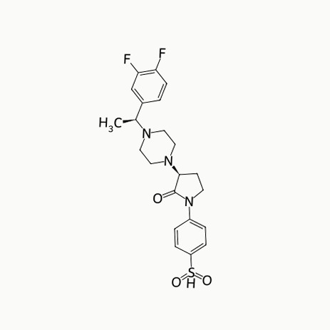 C[C@@H](c1ccc(F)c(F)c1)N1CCN([C@H]2CCN(c3ccc([SH](=O)=O)cc3)C2=O)CC1